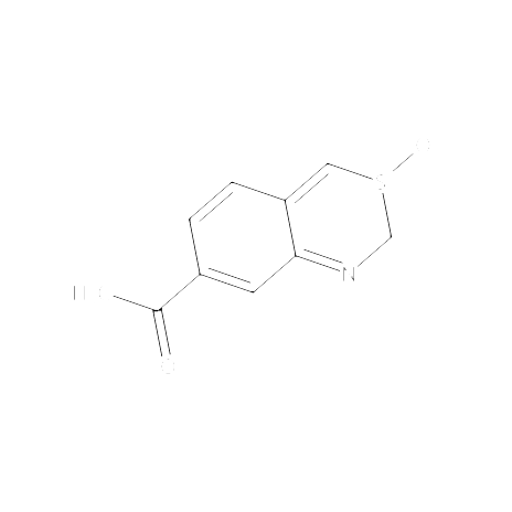 CC(=O)c1ccc2c(c1)=NC[S+]([O-])C=2